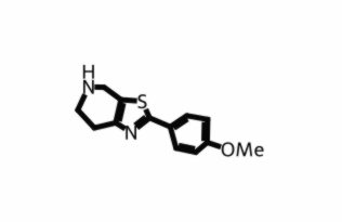 COc1ccc(-c2nc3c(s2)CNCC3)cc1